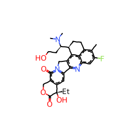 CC[C@@]1(O)C(=O)OCc2c1cc1n(c2=O)Cc2c-1nc1cc(F)c(C)c3c1c2[C@@H]([C@@H](CCO)N(C)C)CC3